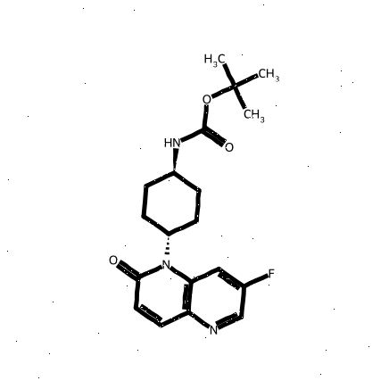 CC(C)(C)OC(=O)N[C@H]1CC[C@H](n2c(=O)ccc3ncc(F)cc32)CC1